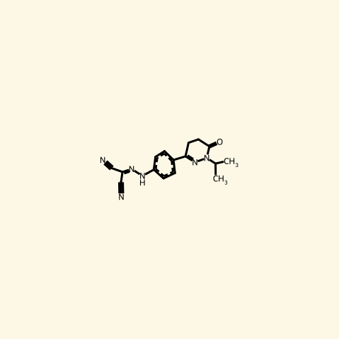 CC(C)N1N=C(c2ccc(NN=C(C#N)C#N)cc2)CCC1=O